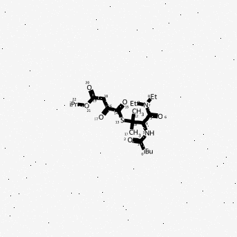 CCC(C)C(=O)NC(C(=O)N(CC)CC)C(C)(C)SC(=O)C(=O)CC(=O)OC(C)C